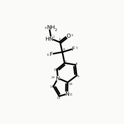 NNC(=O)C(F)(F)c1ccc2nccn2c1